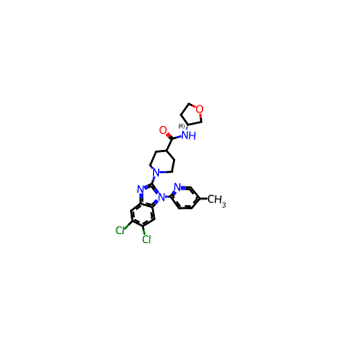 Cc1ccc(-n2c(N3CCC(C(=O)N[C@@H]4CCOC4)CC3)nc3cc(Cl)c(Cl)cc32)nc1